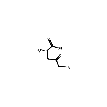 C[C@@H](CC(=O)CN)C(=O)O